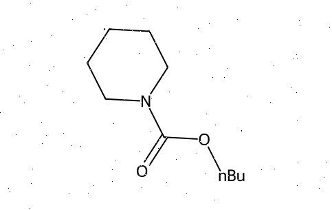 CCCCOC(=O)N1CC[CH]CC1